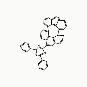 c1ccc(-c2nc(-c3ccccc3)nc(-c3cc4cccc5c6cccc7ccc8cccc(c9cccc3c9c45)c8c76)n2)cc1